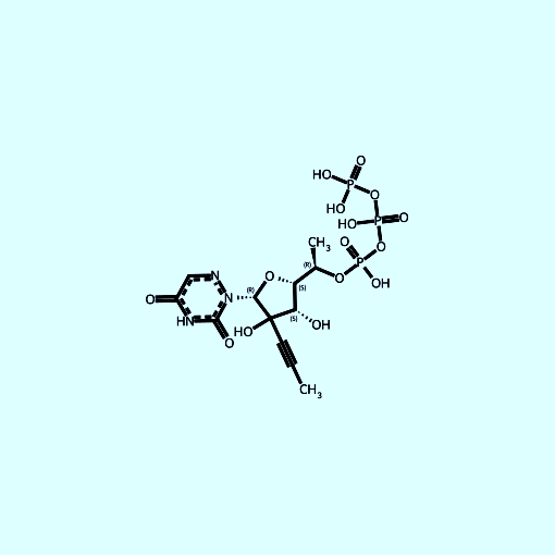 CC#CC1(O)[C@@H](O)[C@@H]([C@@H](C)OP(=O)(O)OP(=O)(O)OP(=O)(O)O)O[C@H]1n1ncc(=O)[nH]c1=O